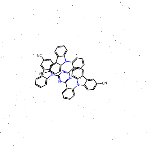 N#Cc1ccc2c(c1)c1ccccc1n2-c1nc(-c2ccccc2-n2c3ccccc3c3cc(C#N)ccc32)nc(-c2ccccc2-n2c3ccccc3c3cc(C#N)ccc32)n1